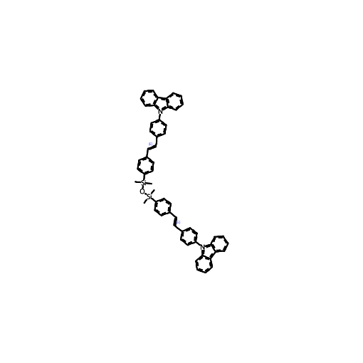 C[Si](C)(O[Si](C)(C)c1ccc(/C=C/c2ccc(-n3c4ccccc4c4ccccc43)cc2)cc1)c1ccc(/C=C/c2ccc(-n3c4ccccc4c4ccccc43)cc2)cc1